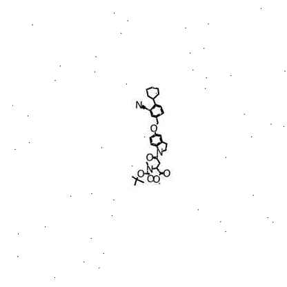 COC(=O)C(CC(=O)N1CCc2cc(OCc3ccc(C4CCCCC4)c(C#N)c3)ccc21)N(C)C(=O)OC(C)(C)C